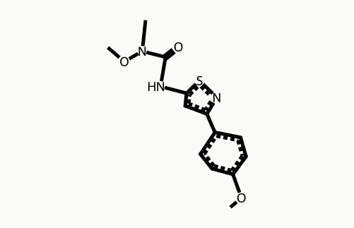 COc1ccc(-c2cc(NC(=O)N(C)OC)sn2)cc1